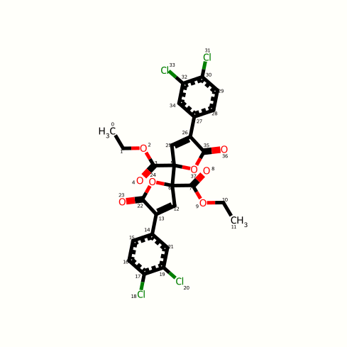 CCOC(=O)C1(C2(C(=O)OCC)C=C(c3ccc(Cl)c(Cl)c3)C(=O)O2)C=C(c2ccc(Cl)c(Cl)c2)C(=O)O1